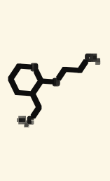 [CH2]CC1CCCOC1OCCC